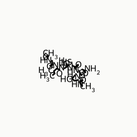 CC[C@H](C)[C@H](NC(=O)CNCOC)C(=O)NCC(=O)N[C@@H](CS)C(=O)N[C@@H](CC(N)=O)C(=O)N1C[C@H](O)C[C@H]1C(=O)NC